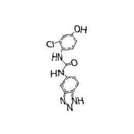 O=C(Nc1ccc2[nH]nnc2c1)Nc1ccc(O)cc1Cl